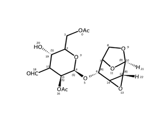 CC(=O)OCC1O[C@@H](O[C@@H]2C3CO[C@H](O3)[C@@H]3OC23)[C@@H](OC(C)=O)C(C=O)[C@@H]1O